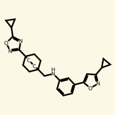 c1cc(NCC23CCC(c4noc(C5CC5)n4)(CC2)CC3)cc(-c2cc(C3CC3)no2)c1